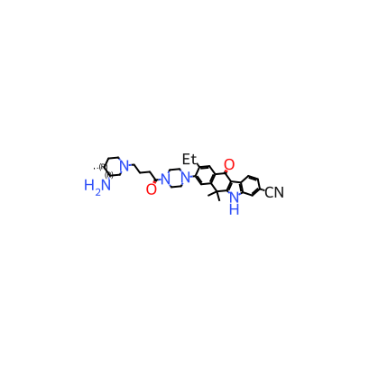 CCc1cc2c(cc1N1CCN(C(=O)CCCN3CC[C@@H](C)[C@@H](N)C3)CC1)C(C)(C)c1[nH]c3cc(C#N)ccc3c1C2=O